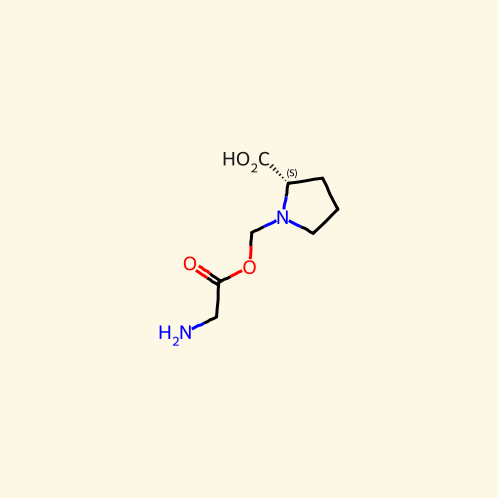 NCC(=O)OCN1CCC[C@H]1C(=O)O